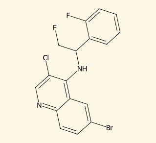 FCC(Nc1c(Cl)cnc2ccc(Br)cc12)c1ccccc1F